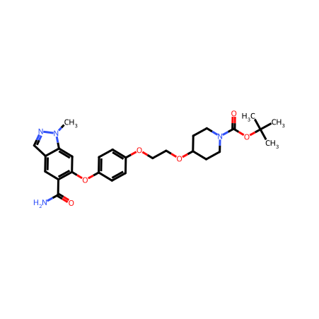 Cn1ncc2cc(C(N)=O)c(Oc3ccc(OCCOC4CCN(C(=O)OC(C)(C)C)CC4)cc3)cc21